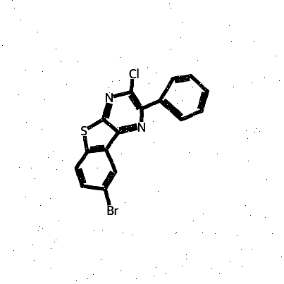 Clc1nc2sc3ccc(Br)cc3c2nc1-c1ccccc1